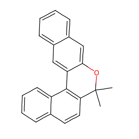 CC1(C)Oc2cc3ccccc3cc2-c2c1ccc1ccccc21